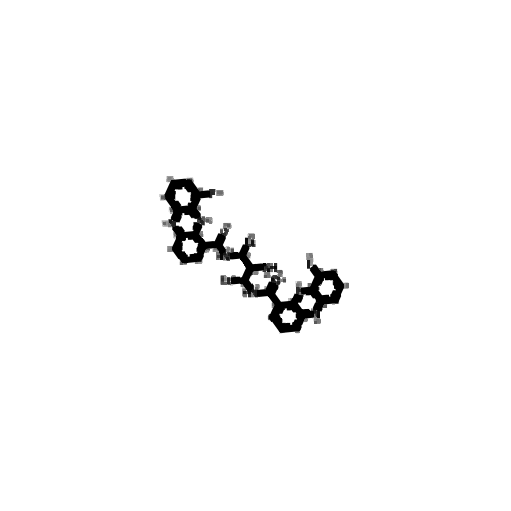 CCC(NC(=O)c1cccc2nc3cccc(F)c3nc12)C(N)C(CC)NC(=O)c1cccc2nc3cccc(F)c3nc12